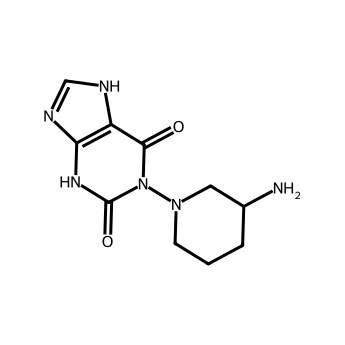 NC1CCCN(n2c(=O)[nH]c3nc[nH]c3c2=O)C1